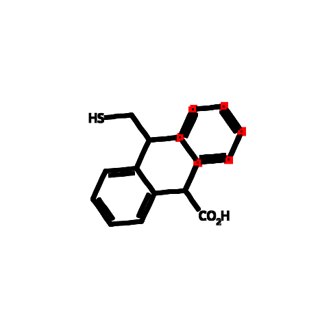 O=C(O)C12c3ccccc3C(CS)(c3ccccc31)c1ccccc12